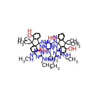 CCNc1nc(NCC)nc(NC2(Nc3nc(NCC)nc(NC4(Nc5nc(NCC)nc(NCC)n5)c5cccc(O)c5C(CC)(CC)c5cccc(O)c54)n3)c3cccc(O)c3C(CC)(CC)c3cccc(O)c32)n1